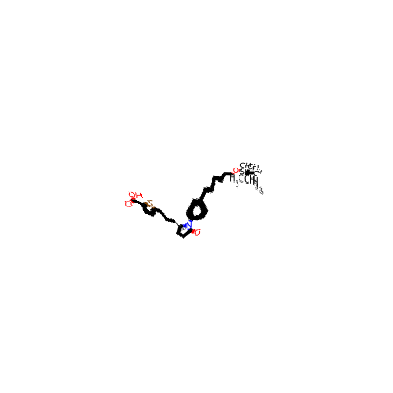 CC(C)(C)[Si](C)(C)OCCCCCCc1ccc(N2C(=O)CC[C@@H]2CCCc2ccc(C(=O)O)s2)cc1